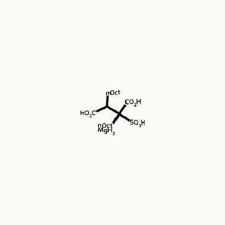 CCCCCCCCC(C(=O)O)C(CCCCCCCC)(C(=O)O)S(=O)(=O)O.[MgH2]